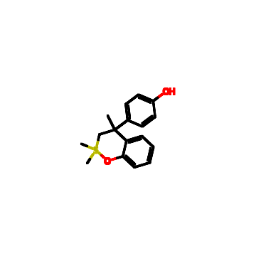 CC1(c2ccc(O)cc2)CS(C)(C)Oc2ccccc21